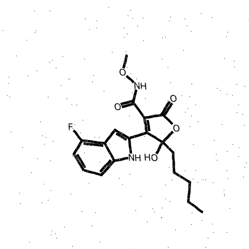 CCCCCC1(O)OC(=O)C(C(=O)NOC)=C1c1cc2c(F)cccc2[nH]1